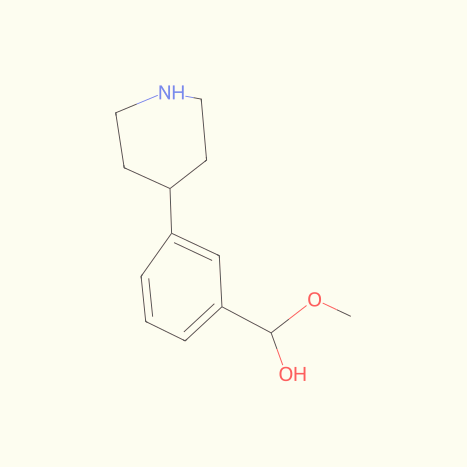 COC(O)c1cccc(C2CCNCC2)c1